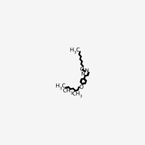 CCCCCCCCOc1nccc(-c2ccc(OCC[C@@H](C)CCC=C(C)C)cc2)n1